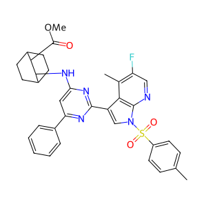 COC(=O)C1C2CCC(CC2)C1Nc1cc(-c2ccccc2)nc(-c2cn(S(=O)(=O)c3ccc(C)cc3)c3ncc(F)c(C)c23)n1